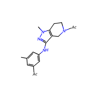 CC(=O)c1cc(C)cc(Nc2nn(C)c3c2CN(C(C)=O)CC3)c1